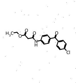 CCOC(=O)CC(=O)Nc1ccc(C(=O)c2ccc(Cl)cc2)cc1